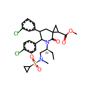 CC[C@@H](CN(C)S(=O)(=O)C1CC1)N1C(=O)C2(CC(c3cccc(Cl)c3)C1c1ccc(Cl)cc1)CC2C(=O)OC